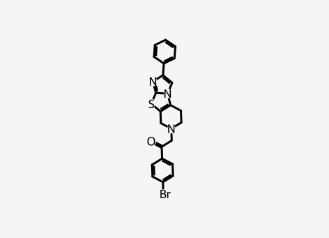 O=C(CN1CCc2c(sc3nc(-c4ccccc4)cn23)C1)c1ccc(Br)cc1